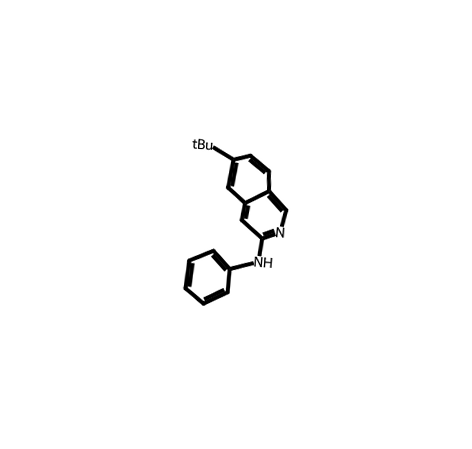 CC(C)(C)c1ccc2cnc(Nc3ccccc3)cc2c1